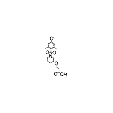 COc1cc(C)c(S(=O)(=O)N2CCCC(OCCC(=O)O)C2)c(C)c1